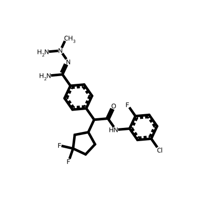 CN(N)/N=C(\N)c1ccc(C(C(=O)Nc2cc(Cl)ccc2F)C2CCC(F)(F)C2)cc1